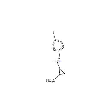 C/C(=C\c1ccc(I)cc1)C1CC1C(=O)O